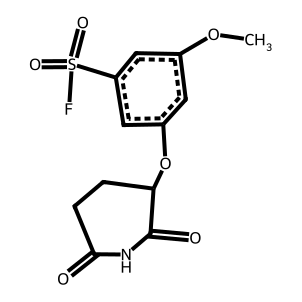 COc1cc(OC2CCC(=O)NC2=O)cc(S(=O)(=O)F)c1